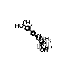 C[C@@H](O)c1ccc(-c2ccc(C3=NO[C@@H](C[C@](C)(C(=O)NO)S(C)(=O)=O)C3)cc2)cc1